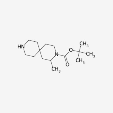 CC1CC2(CCNCC2)CCN1C(=O)OC(C)(C)C